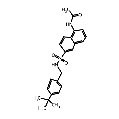 CC(=O)Nc1cccc2cc(S(=O)(=O)NCc3ccc(C(C)(C)C)cc3)ccc12